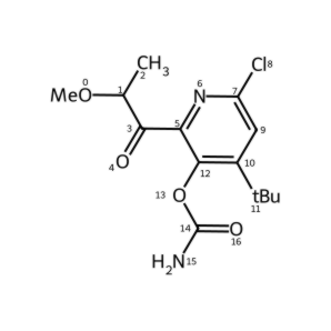 COC(C)C(=O)c1nc(Cl)cc(C(C)(C)C)c1OC(N)=O